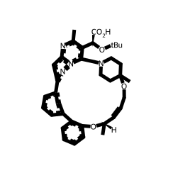 Cc1nc2cc3nn2c(c1[C@H](OC(C)(C)C)C(=O)O)N1CCC(C)(CC1)OCC=C[C@H](C)Oc1ccccc1-c1cccc-3c1